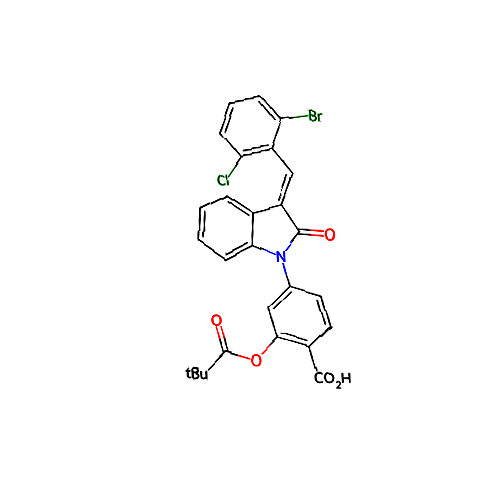 CC(C)(C)C(=O)Oc1cc(N2C(=O)/C(=C/c3c(Cl)cccc3Br)c3ccccc32)ccc1C(=O)O